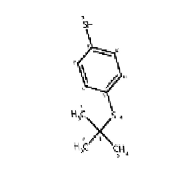 CC(C)(C)Sc1ccc(S)cc1